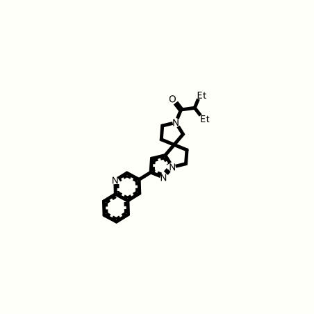 CCC(CC)C(=O)N1CCC2(CCn3nc(-c4cnc5ccccc5c4)cc32)C1